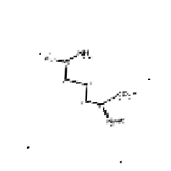 CN[C@@H](CCCC(N)C(C)=O)C(=O)O